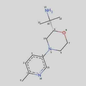 Cc1ccc(N2CCO[C@@H](C(C)(C)N)C2)cn1